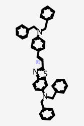 C(=C\c1nc2ccc(N(Cc3ccccc3)Cc3ccccc3)cc2s1)/c1ccc(N(Cc2ccccc2)Cc2ccccc2)cc1